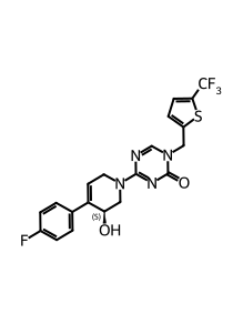 O=c1nc(N2CC=C(c3ccc(F)cc3)[C@H](O)C2)ncn1Cc1ccc(C(F)(F)F)s1